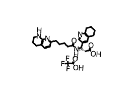 O=C(O)C(F)(F)F.O=C(O)C[C@H](NC(=O)CCCCc1ccc2c(n1)NCCC2)c1cnc2c(c1)CCCC2